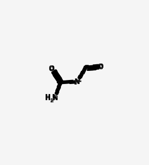 NC(=O)[N]C=O